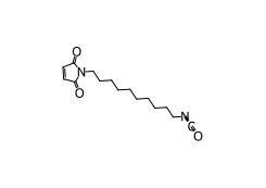 O=C=NCCCCCCCCCCN1C(=O)C=CC1=O